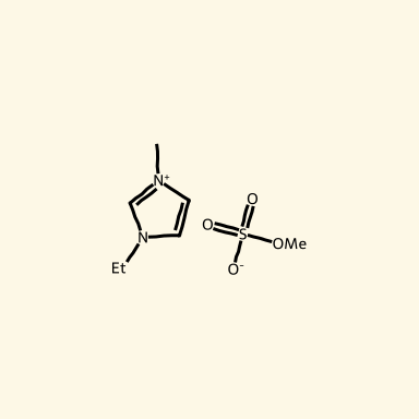 CCn1cc[n+](C)c1.COS(=O)(=O)[O-]